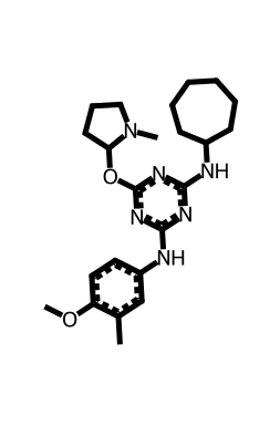 COc1ccc(Nc2nc(NC3CCCCCC3)nc(OC3CCCN3C)n2)cc1C